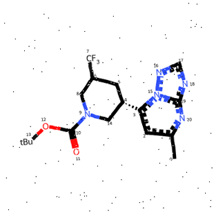 Cc1cc([C@H]2CC(C(F)(F)F)CN(C(=O)OC(C)(C)C)C2)n2ncnc2n1